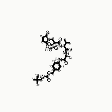 CC(C)[C@H](NC(=O)C(CN1C(=O)C=CC1=O)S(=O)(=O)O)C(=O)N[C@@H](C)C(=O)Nc1ccc(COC(=O)NCC(C)(C)C)cc1